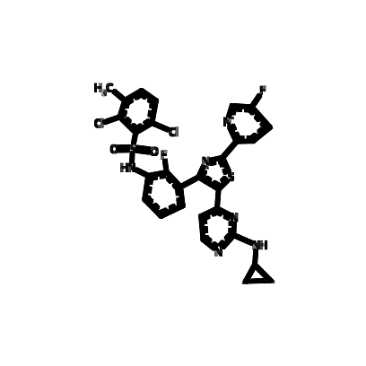 Cc1ccc(Cl)c(S(=O)(=O)Nc2cccc(-c3nc(-c4ccc(F)cn4)sc3-c3ccnc(NC4CC4)n3)c2F)c1Cl